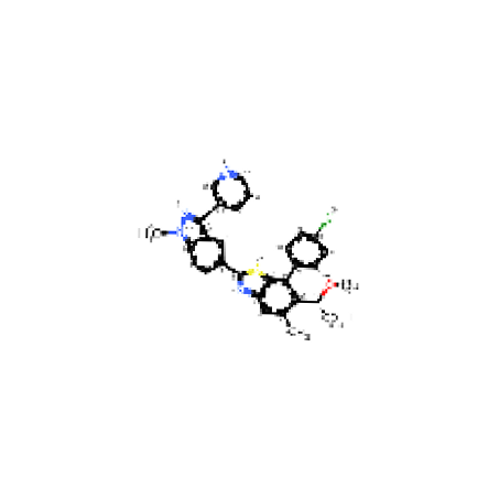 Cc1cc2nc(-c3ccc4c(c3)c(-c3cccnc3)nn4C)sc2c(-c2ccc(Cl)cc2)c1[C@H](OC(C)(C)C)C(=O)O